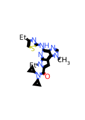 CCc1csc(Nc2nc3c(cc(C(=O)N(C4CC4)C4CC4)n3CC)c3c2ncn3C)n1